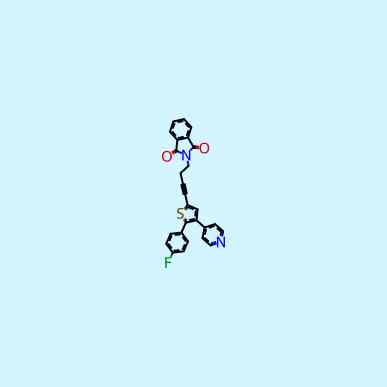 O=C1c2ccccc2C(=O)N1CCC#Cc1cc(-c2ccncc2)c(-c2ccc(F)cc2)s1